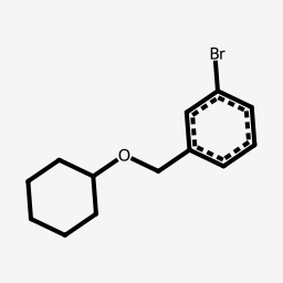 Brc1cccc(COC2CCCCC2)c1